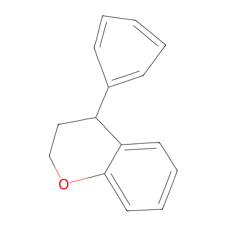 c1ccc(C2CCOc3ccccc32)cc1